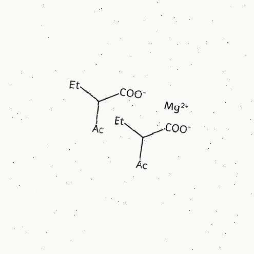 CCC(C(C)=O)C(=O)[O-].CCC(C(C)=O)C(=O)[O-].[Mg+2]